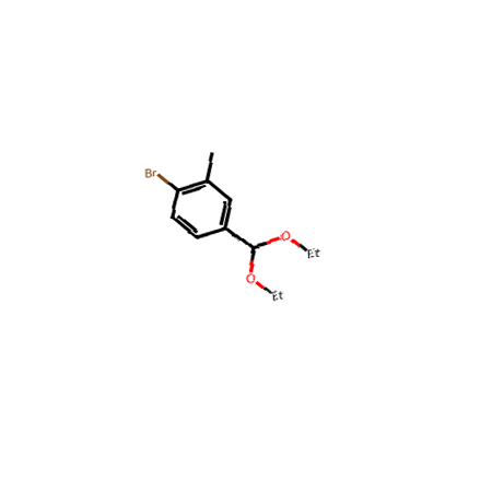 CCOC(OCC)c1ccc(Br)c(C)c1